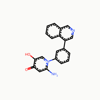 Nc1cc(=O)c(O)cn1-c1cccc(-c2cncc3ccccc23)c1